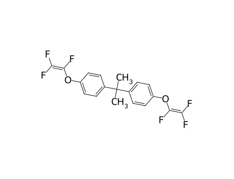 CC(C)(c1ccc(OC(F)=C(F)F)cc1)c1ccc(OC(F)=C(F)F)cc1